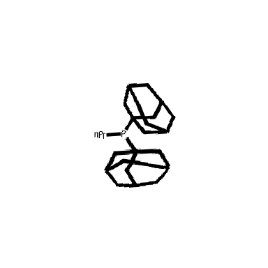 CCCP(C12CC3CC(CC(C3)C1)C2)C12CC3CC(CC(C3)C1)C2